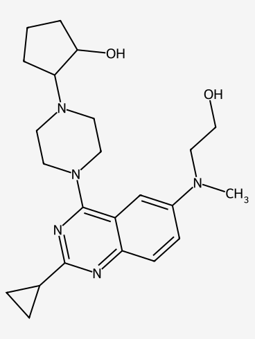 CN(CCO)c1ccc2nc(C3CC3)nc(N3CCN(C4CCCC4O)CC3)c2c1